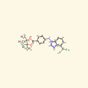 CC1(C)OB(c2ccc(Cn3cnc4c(C(F)F)cccc43)cc2)OC1(C)C